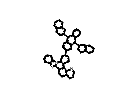 c1ccc2cc(-c3c4ccccc4c(-c4ccc5ccccc5c4)c4cc(-c5ccc6c7c(ccc8cccnc87)c7nc8ccccc8n7c6c5)ccc34)ccc2c1